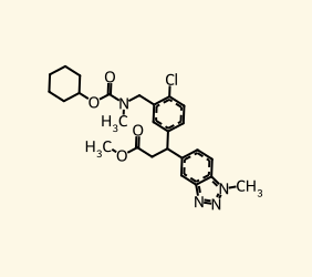 COC(=O)CC(c1ccc(Cl)c(CN(C)C(=O)OC2CCCCC2)c1)c1ccc2c(c1)nnn2C